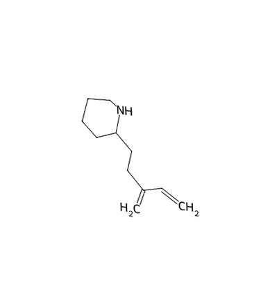 C=CC(=C)CCC1CCCCN1